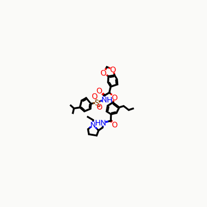 CCCc1cc(C(=O)NCC2CCCN2CC)ccc1OC(C(=O)NS(=O)(=O)c1ccc(C(C)C)cc1)c1ccc2c(c1)OCO2